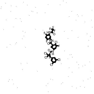 O=C(Nc1cc(NC(=O)C(F)(F)F)c(F)cc1F)c1cc(NC(=O)[C@H]2[C@H](c3cc(Cl)cc(Cl)c3)C2(Cl)Cl)cc(F)c1Cl